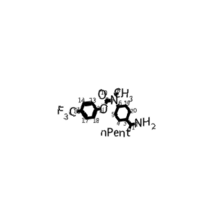 CCCCCC(N)C1CCC(N(C)C(=O)Oc2ccc(C(F)(F)F)cc2)CC1